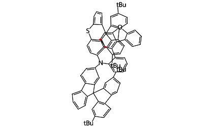 CC(C)(C)c1ccc2c(c1)C1(c3ccccc3Sc3ccc(N(c4ccc5c(c4)C4(c6ccccc6-5)c5cc(C(C)(C)C)ccc5-c5ccc(C(C)(C)C)cc54)c4ccccc4-c4cccc5oc6ccccc6c45)cc31)c1cc(C(C)(C)C)ccc1-2